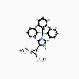 O=C(O)C1C(c2cn(C(c3ccccc3)(c3ccccc3)c3ccccc3)cn2)[C@@H]1C(=O)O